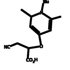 CCC(C)N1C(C)=CC(OC(CC#N)C(=O)O)=CC1C